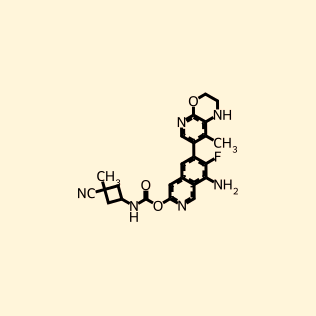 Cc1c(-c2cc3cc(OC(=O)NC4CC(C)(C#N)C4)ncc3c(N)c2F)cnc2c1NCCO2